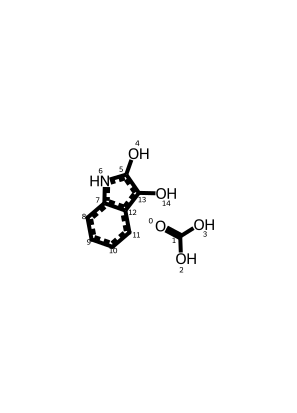 O=C(O)O.Oc1[nH]c2ccccc2c1O